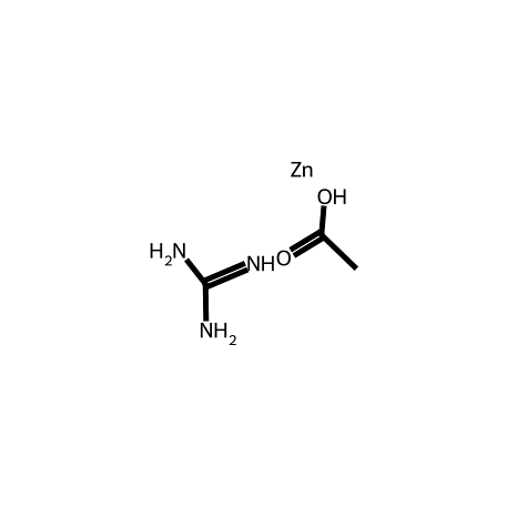 CC(=O)O.N=C(N)N.[Zn]